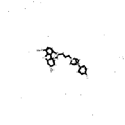 COc1ccc2c3c1OC1C[C@@H](O)C=CC31CCN(CCCN1CC3CC1CN3c1ccc(F)cc1)C2